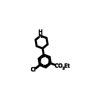 CCOC(=O)c1cc(Cl)cc(C2CCNCC2)c1